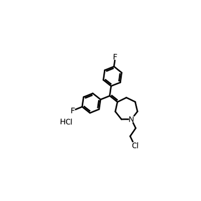 Cl.Fc1ccc(C(=C2CCCN(CCCl)CC2)c2ccc(F)cc2)cc1